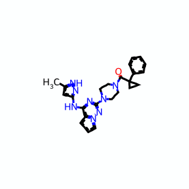 Cc1cc(Nc2nc(N3CCN(C(=O)C4(c5ccccc5)CC4)CC3)nn3cccc23)n[nH]1